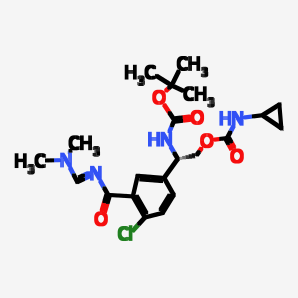 CN(C)/C=N/C(=O)c1cc([C@@H](COC(=O)NC2CC2)NC(=O)OC(C)(C)C)ccc1Cl